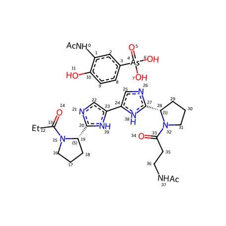 CC(=O)Nc1cc([As](=O)(O)O)ccc1O.CCC(=O)N1CCC[C@H]1c1ncc(-c2cnc([C@@H]3CCCN3C(=O)CCNC(C)=O)[nH]2)[nH]1